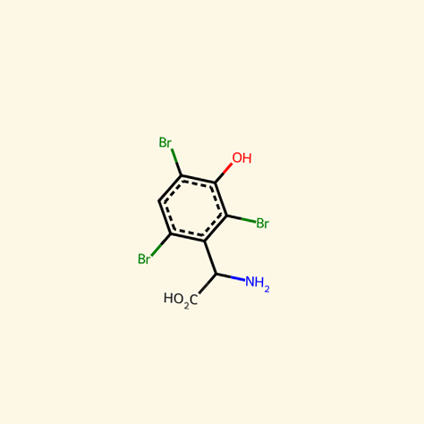 NC(C(=O)O)c1c(Br)cc(Br)c(O)c1Br